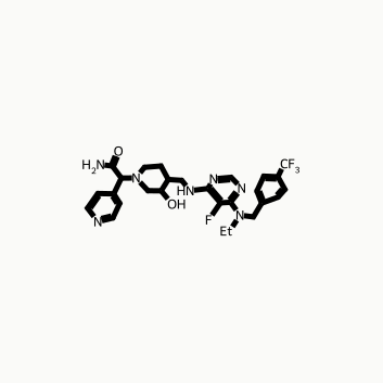 CCN(Cc1ccc(C(F)(F)F)cc1)c1ncnc(NCC2CCN(C(C(N)=O)c3ccncc3)CC2O)c1F